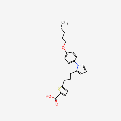 CCCCCOc1ccc(-n2cccc2CCCc2ccc(C(=O)O)s2)cc1